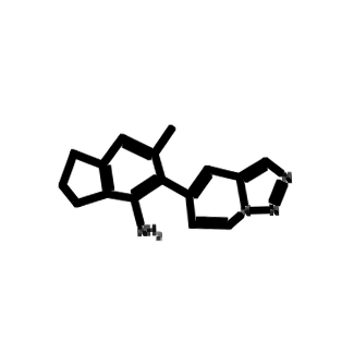 Cc1cc2c(c(N)c1-c1ccn3nncc3c1)CCC2